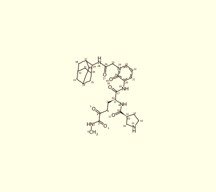 CNC(=O)C(=O)CC[C@H](NC(=O)[C@H]1CCNC1)C(=O)Nc1cccn(CC(=O)NC2C3CC4CC(C3)CC2C4)c1=O